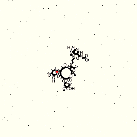 CC[C@H]1OC(=O)[C@H](C)[C@@H](O[C@H]2C[C@@](C)(OC)[C@@H](O)[C@H](C)O2)[C@H](C)[C@@H](O[C@@H]2O[C@H](C)C[C@H](N(C)C)[C@H]2O)[C@](C)(OC)C[C@@H](C)C(=O)[C@H](C)[C@H]2[C@H](SCCCn3cnc4c(N)ncc(C(=O)NCC(=O)OC)c43)C(=O)O[C@@]21C